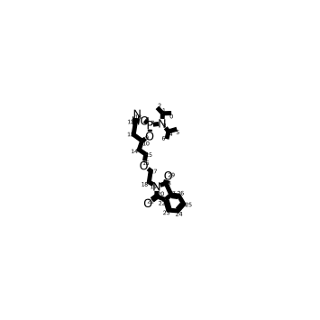 CC(C)N(C(C)C)P(O)OC(CC#N)CCOCCN1C(=O)c2ccccc2C1=O